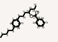 CCCCCc1ccc(CCCC(CCC)OC(=O)c2ccccc2)cc1